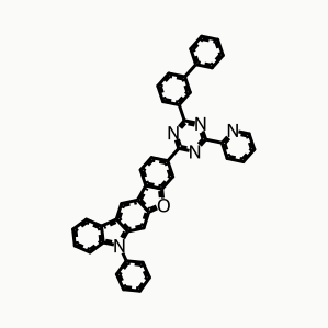 c1ccc(-c2cccc(-c3nc(-c4ccc5c(c4)oc4cc6c(cc45)c4ccccc4n6-c4ccccc4)nc(-c4ccccn4)n3)c2)cc1